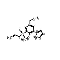 C=CCS(=O)(=O)c1cc(CC)cc(-c2ccc[nH]2)c1OC